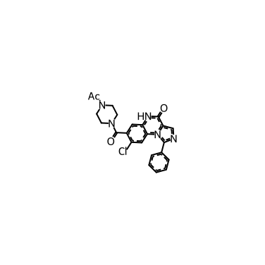 CC(=O)N1CCN(C(=O)c2cc3[nH]c(=O)c4cnc(-c5ccccc5)n4c3cc2Cl)CC1